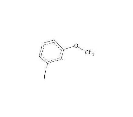 FC(F)(F)Oc1[c]c(I)ccc1